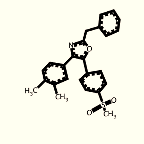 Cc1ccc(-c2nc(Cc3ccccc3)oc2-c2ccc(S(C)(=O)=O)cc2)cc1C